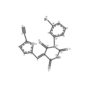 C#Cc1ccc(C=C2C(=O)NC(=S)N(c3cccc(Br)c3)C2=O)o1